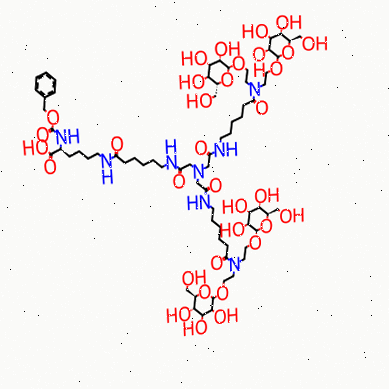 O=C(CCCCCNC(=O)CN(CC(=O)NCCCCCC(=O)N(CCOC1O[C@H](CO)[C@@H](O)[C@H](O)[C@@H]1O)CCO[C@H]1O[C@H](CO)[C@@H](O)[C@H](O)[C@@H]1O)CC(=O)NCCCCCC(=O)N(CCOC1O[C@H](CO)[C@@H](O)[C@H](O)[C@@H]1O)CCO[C@H]1O[C@H](CO)[C@@H](O)[C@H](O)[C@@H]1O)NCCCC[C@H](NC(=O)OCc1ccccc1)C(=O)O